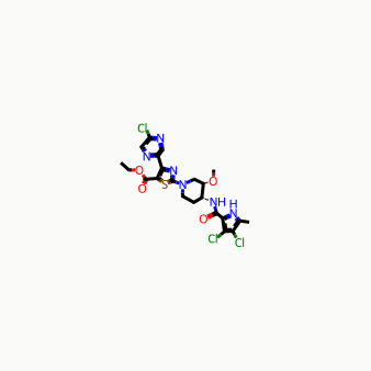 CCOC(=O)c1sc(N2CC[C@@H](NC(=O)c3[nH]c(C)c(Cl)c3Cl)[C@@H](OC)C2)nc1-c1cnc(Cl)cn1